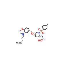 COCCCN1CCOc2ccc(CO[C@@H]3CC[C@@H](CC(C)O)N(S(=O)(=O)c4ccc(C)cc4)C3)cc21